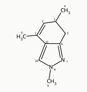 CC1=CC(C)Cc2nn(C)cc21